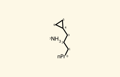 CCCCCCC1CC1.N